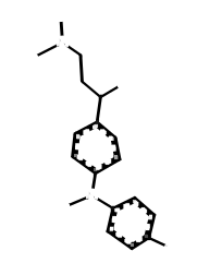 CC(CCN(C)C)c1ccc(N(C)c2ccc(O)cc2)cc1